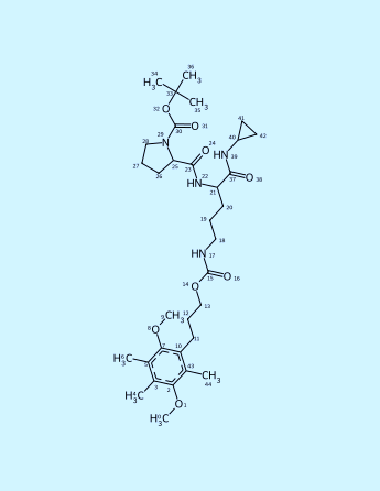 COc1c(C)c(C)c(OC)c(CCCOC(=O)NCCCC(NC(=O)C2CCCN2C(=O)OC(C)(C)C)C(=O)NC2CC2)c1C